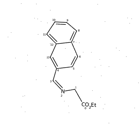 CCOC(=O)C/N=C\c1ccc2ccccc2c1